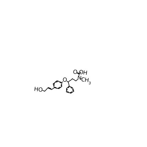 CN(CCC(Oc1ccc(C=CCO)cc1)c1ccccc1)C(=O)O